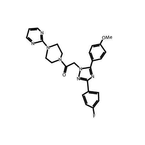 COc1ccc(-c2nc(-c3ccc(F)cc3)nn2CC(=O)N2CCN(c3ncccn3)CC2)cc1